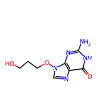 Nc1nc2c(ncn2OCCCO)c(=O)[nH]1